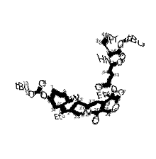 CCc1c2c(nc3ccc(OC(=O)OC(C)(C)C)cc13)-c1cc3c(c(=O)n1C2)COC(=O)[C@@]3(CC)OC(=O)CCC(=O)N[C@@H](CC(C)C)C(=O)OC(C)(C)C